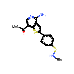 CNC(=O)c1cnc(N)c2cc(-c3ccc(SNC(C)(C)C)cc3)sc12